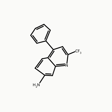 Nc1ccc2c(-c3ccccc3)cc(C(F)(F)F)nc2c1